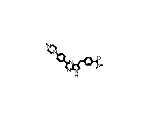 CN1CCN(c2ccc(-c3cnc4[nH]cc(Cc5ccc(C(=O)N(C)C)cc5)c4n3)cc2)CC1